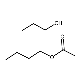 CCCCOC(C)=O.CCCO